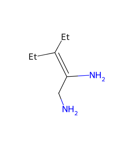 CCC(CC)=C(N)CN